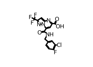 O=C(O)c1cc(C(=O)NCc2ccc(F)c(Cl)c2)n2nc(C(F)(F)F)cc2n1